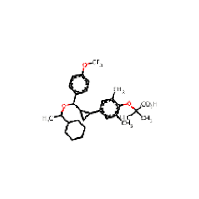 Cc1cc(C2CC2C(OC(C)C2CCCCC2)c2ccc(OC(F)(F)F)cc2)cc(C)c1OC(C)(C)C(=O)O